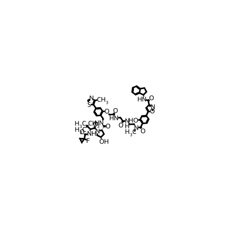 Cc1ncsc1-c1ccc(CNC(=O)[C@@H]2C[C@@H](O)CN2C(=O)[C@@H](NC(=O)C2(F)CC2)C(C)(C)C)c(OCC(=O)NCC(=O)NCCN(C)C(=O)c2ccc(-c3cc(C(=O)N[C@@H]4CCc5ccccc54)no3)cc2O)c1